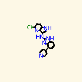 Clc1ccc2[nH]cc(Nc3nc4c(-c5ccncc5)cccc4[nH]3)c2n1